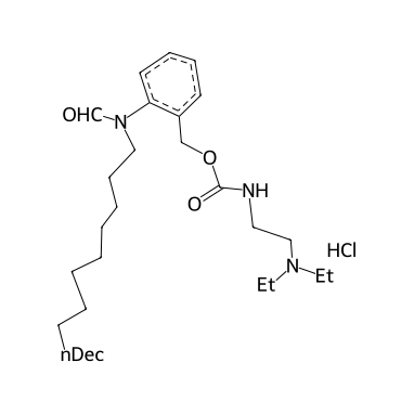 CCCCCCCCCCCCCCCCCCN(C=O)c1ccccc1COC(=O)NCCN(CC)CC.Cl